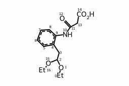 CCOC(Cc1ccccc1NC(=O)CC(=O)O)OCC